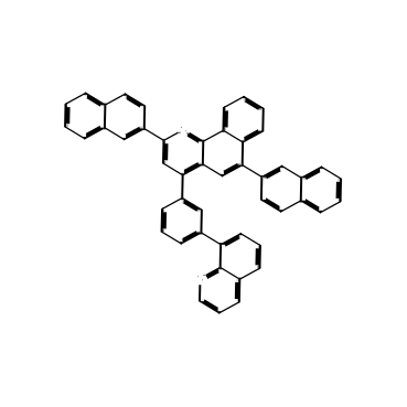 c1cc(-c2cc(-c3ccc4ccccc4c3)nc3c2cc(-c2ccc4ccccc4c2)c2ccccc23)cc(-c2cccc3cccnc23)c1